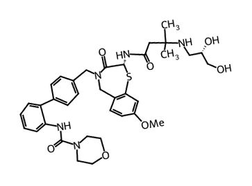 COc1ccc2c(c1)S[C@@H](NC(=O)CC(C)(C)NC[C@H](O)CO)C(=O)N(Cc1ccc(-c3ccccc3NC(=O)N3CCOCC3)cc1)C2